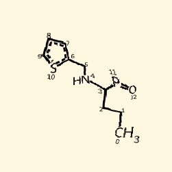 CCCC(NCc1cccs1)P=O